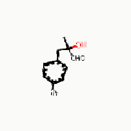 CC(C)c1ccc(C[C@](C)(O)C=O)cc1